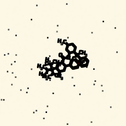 CC1CCC(C(C)(C)c2ccccc2)C(OC(=O)N2C=C([Si](C(C)C)(C(C)C)C(C)C)C(=O)CC2c2ccc(F)cc2)C1